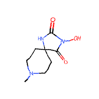 CN1CCC2(CC1)NC(=O)N(O)C2=O